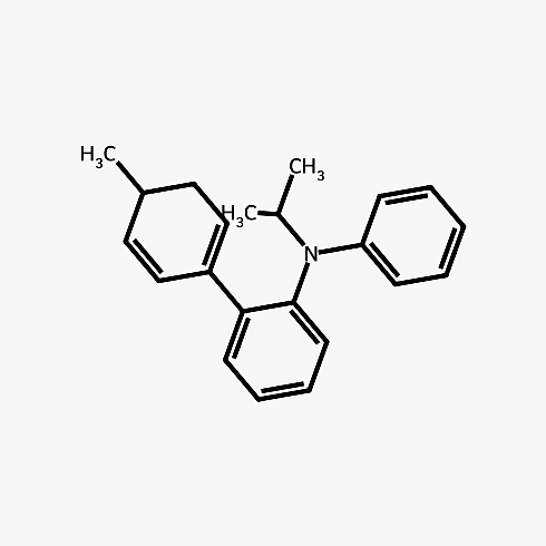 CC1C=CC(c2ccccc2N(c2ccccc2)C(C)C)=CC1